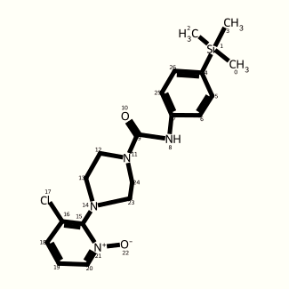 C[Si](C)(C)c1ccc(NC(=O)N2CCN(c3c(Cl)ccc[n+]3[O-])CC2)cc1